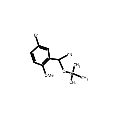 COc1ccc(Br)cc1C(C#N)O[Si](C)(C)C